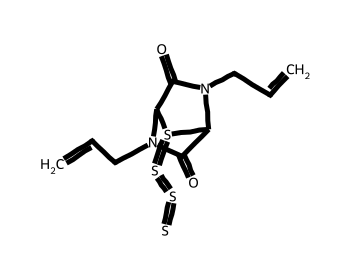 C=CCN1C(=O)C2N(CC=C)C(=O)C1S2=S=S=S